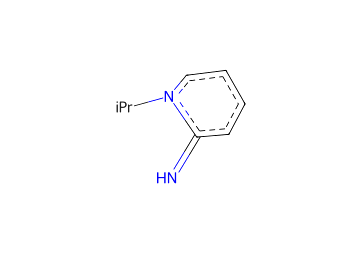 CC(C)n1ccccc1=N